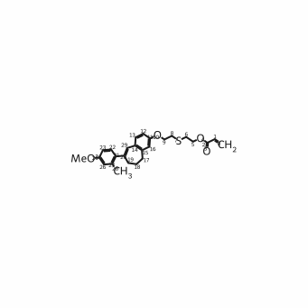 C=CC(=O)OCCSCCOc1ccc2c(c1)CCCC(c1ccc(OC)cc1C)=C2